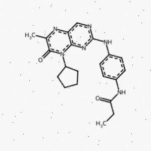 CCC(=O)Nc1ccc(Nc2ncc3nc(C)c(=O)n(C4CCCC4)c3n2)cc1